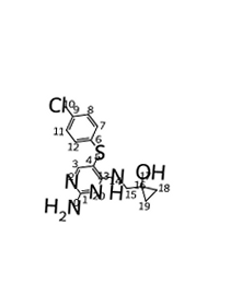 Nc1ncc(Sc2ccc(Cl)cc2)c(NCC2(O)CC2)n1